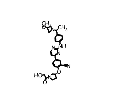 COC1CN(C(C)c2ccc(Nc3nccc(-c4ccc(O[C@@H]5CCN(C(=O)CO)C5)c(C#N)c4)n3)cc2)C1